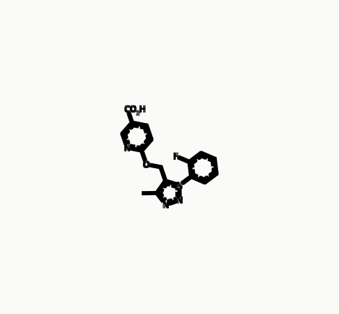 Cc1nnn(-c2ccccc2F)c1COc1ccc(C(=O)O)cn1